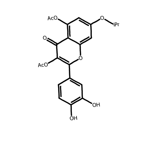 CC(=O)Oc1c(-c2ccc(O)c(O)c2)oc2cc(OC(C)C)cc(OC(C)=O)c2c1=O